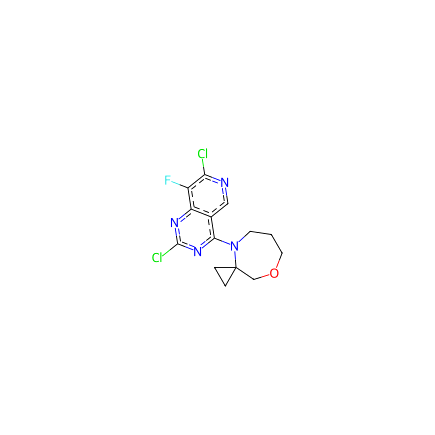 Fc1c(Cl)ncc2c(N3CCCOCC34CC4)nc(Cl)nc12